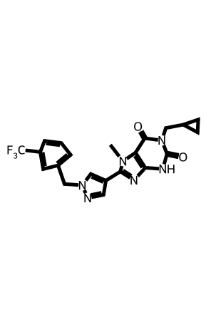 Cn1c(-c2cnn(Cc3cccc(C(F)(F)F)c3)c2)nc2[nH]c(=O)n(CC3CC3)c(=O)c21